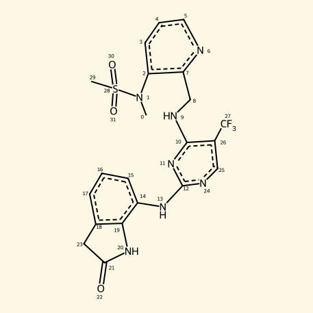 CN(c1cccnc1CNc1nc(Nc2cccc3c2NC(=O)C3)ncc1C(F)(F)F)S(C)(=O)=O